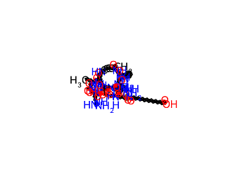 CCCC[C@H](NC(=O)[C@H](CO)NC(=O)[C@H](CCCNC(=N)N)NC(=O)COCCOCCNC(=O)CCCS(=O)(=O)NC(=O)CCCCCCCCCCCCCCC(=O)O)C(=O)N[C@H]1CCC(=O)NCCCC[C@@H](C(C)=O)NC(=O)[C@H](Cc2c[nH]c3ccccc23)NC(=O)[C@H](CCCNC(=N)N)NC(=O)[C@@H](Cc2ccccc2)NC(=O)[C@@H]2C[C@@H](O)CN2C1=O